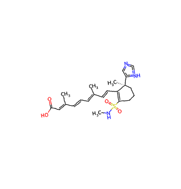 CNS(=O)(=O)C1=C(/C=C/C(C)=C/C=C/C(C)=C/C(=O)O)[C@@](C)(c2cnc[nH]2)CCC1